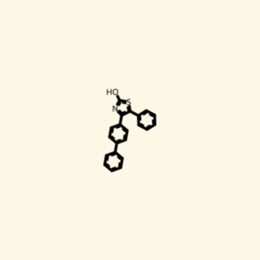 Oc1nc(-c2ccc(-c3ccccc3)cc2)c(-c2ccccc2)s1